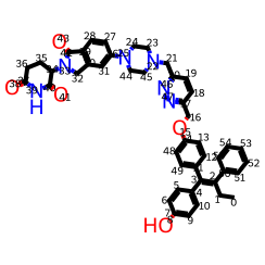 CCC(=C(c1ccc(O)cc1)c1ccc(OCc2ccc(CN3CCN(c4ccc5c(c4)CN(C4CCC(=O)NC4=O)C5=O)CC3)nn2)cc1)c1ccccc1